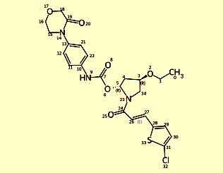 CCO[C@@H]1C[C@@H](OC(=O)Nc2ccc(N3CCOCC3=O)cc2)N(C(=O)/C=C/c2ccc(Cl)s2)C1